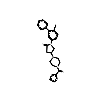 Cc1ccc(N2CC(N3CCN(C(=O)c4nccs4)CC3)CC2=O)cc1-c1ccccc1